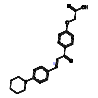 O=C(O)COc1ccc(C(=O)/C=C/c2ccc(N3CCCCC3)cc2)cc1